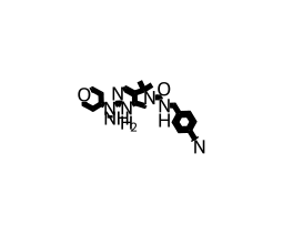 CC1(C)C2=CN=C(N(N)C3CCOCC3)NC2CN1C(=O)NCc1ccc(C#N)cc1